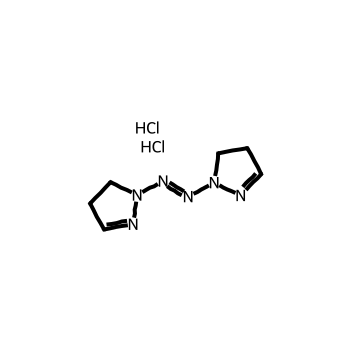 C1=NN(N=NN2CCC=N2)CC1.Cl.Cl